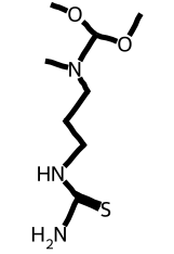 COC(OC)N(C)CCCNC(N)=S